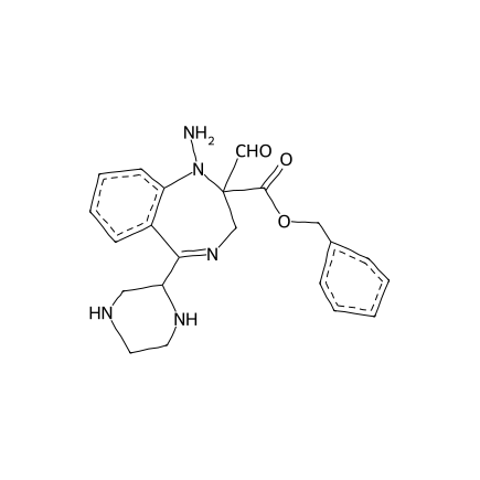 NN1c2ccccc2C(C2CNCCN2)=NCC1(C=O)C(=O)OCc1ccccc1